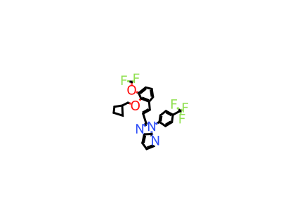 FC(F)Oc1cccc(C=Cc2nc3cccnc3n2-c2ccc(C(F)(F)F)cc2)c1OCC1CCC1